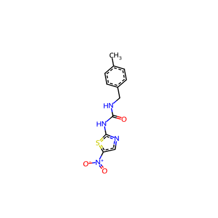 Cc1ccc(CNC(=O)Nc2ncc([N+](=O)[O-])s2)cc1